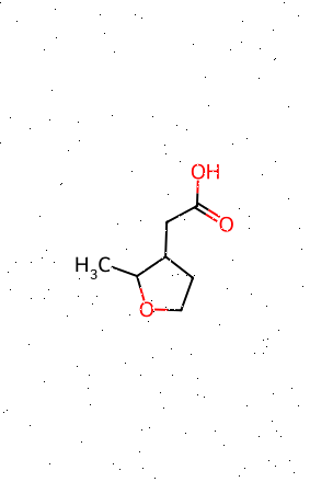 CC1OCCC1CC(=O)O